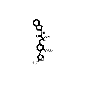 CCC[C@@](Cl)(Cc1ccc(-n2cnc(C)c2)c(OC)c1)C(=O)NC1Cc2ccccc2C1